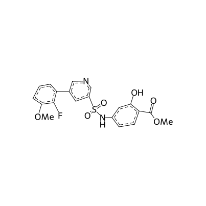 COC(=O)c1ccc(NS(=O)(=O)c2cncc(-c3cccc(OC)c3F)c2)cc1O